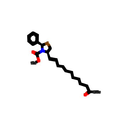 COC(=O)CCCCCCCC/C=C/[C@@H]1CS[C@H](c2ccccc2)N1C(=O)OC(C)(C)C